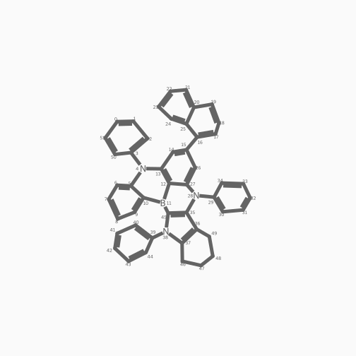 c1ccc(N2c3ccccc3B3c4c2cc(-c2cccc5ccccc25)cc4N(c2ccccc2)c2c4c(n(-c5ccccc5)c23)CCCC4)cc1